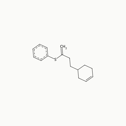 C=C(CCC1CC=CCC1)Sc1ccccc1